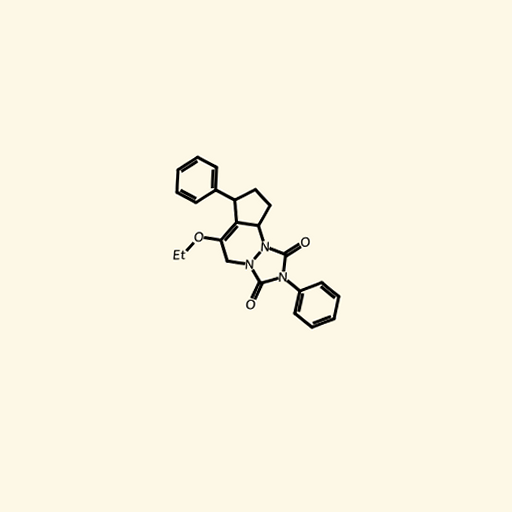 CCOC1=C2C(c3ccccc3)CCC2n2c(=O)n(-c3ccccc3)c(=O)n2C1